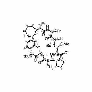 CC[C@H](C)[C@@H](C(CC(=O)N1CCC[C@H]1[C@H](OC)[C@@H](C)C(=O)N[C@@H](Cc1ccccc1)C(=O)OC(C)(C)C)OC)N(C)C(=O)[C@@H](NC(=O)[C@H](C(C)C)N1CCCNCC1)C(C)C